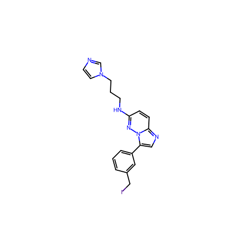 ICc1cccc(-c2cnc3ccc(NCCCn4ccnc4)nn23)c1